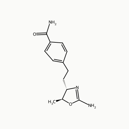 C[C@@H]1OC(N)=N[C@H]1CCc1ccc(C(N)=O)cc1